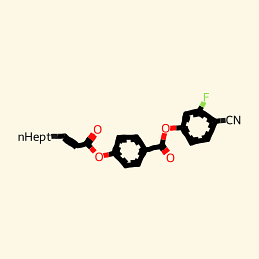 CCCCCCCC=CC(=O)Oc1ccc(C(=O)Oc2ccc(C#N)c(F)c2)cc1